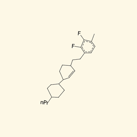 CCCC1CCC(C2C=CC(CCc3ccc(C)c(F)c3F)CC2)CC1